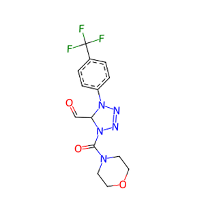 O=CC1N(C(=O)N2CCOCC2)N=NN1c1ccc(C(F)(F)F)cc1